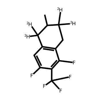 [2H]C1([2H])Cc2c(cc(F)c(C(F)(F)F)c2F)C([2H])([2H])C1C